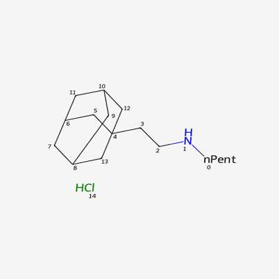 CCCCCNCCC12CC3CC(CC(C3)C1)C2.Cl